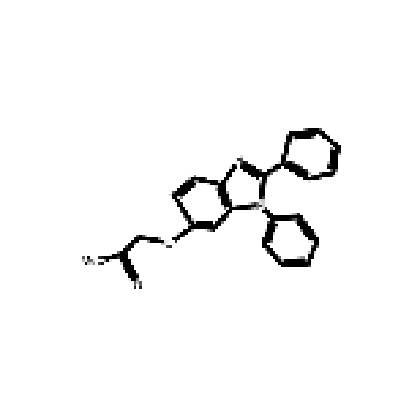 COC(=O)COc1ccc2nc(-c3ccccc3)n(-c3ccccc3)c2c1